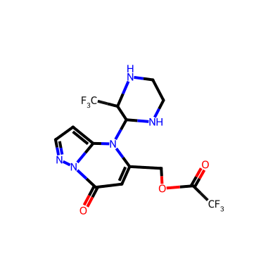 O=C(OCc1cc(=O)n2nccc2n1C1NCCNC1C(F)(F)F)C(F)(F)F